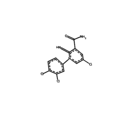 N=c1c(C(N)=O)cc(Cl)cn1-c1ccc(Cl)c(Cl)c1